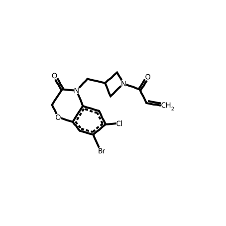 C=CC(=O)N1CC(CN2C(=O)COc3cc(Br)c(Cl)cc32)C1